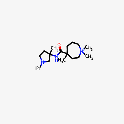 CC(C)N1CCC(C)(NC(=O)C2(C)CCC[N+](C)(C)CC2)C1